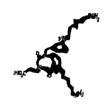 NCCCCCCNc1cccc(CN2C(=O)CN(CCC(=O)O)C(=O)c3cc(CCCCCCN)ccc32)c1